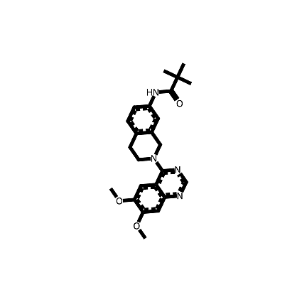 COc1cc2ncnc(N3CCc4ccc(NC(=O)C(C)(C)C)cc4C3)c2cc1OC